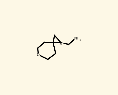 NC[C@@H]1CC12CCOCC2